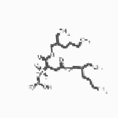 CCCCC(CC)COC(=O)CC(C(=O)OCC(CC)CCCC)S(=O)(=O)OB(O)O